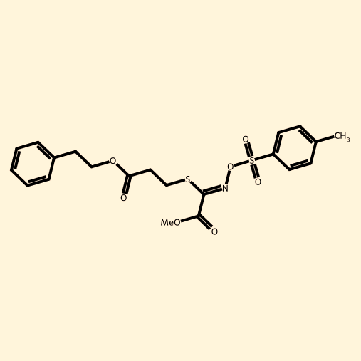 COC(=O)/C(=N/OS(=O)(=O)c1ccc(C)cc1)SCCC(=O)OCCc1ccccc1